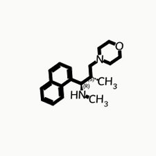 CN[C@@H](c1cccc2ccccc12)[C@@H](C)CN1CCOCC1